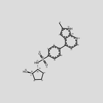 Cc1cc2c(-c3ccc(S(=O)(=O)N[C@@H]4CCC[C@H]4O)cc3)ccnc2[nH]1